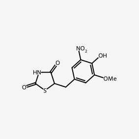 COc1cc(CC2SC(=O)NC2=O)cc([N+](=O)[O-])c1O